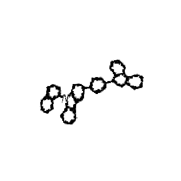 c1ccc2c(-n3c4ccccc4c4cc(-c5ccc(-c6cc7ccccc7c7ccccc67)cc5)ccc43)cccc2c1